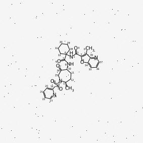 Cc1c(C(=O)NC2(C(=O)N[C@H]3CC[C@@H](C)N(S(=O)(=O)c4ccccn4)CC3=O)CCCCC2)oc2cccnc12